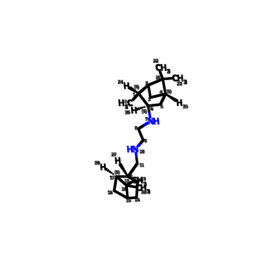 C[C@@H]1C2C[C@@H](C[C@H]1NCCNC[C@@H]1CCC3C[C@@H]1C3(C)C)C2(C)C